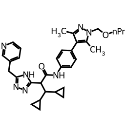 CCCOCn1nc(C)c(-c2ccc(NC(=O)C(c3nnc(Cc4cccnc4)[nH]3)C(C3CC3)C3CC3)cc2)c1C